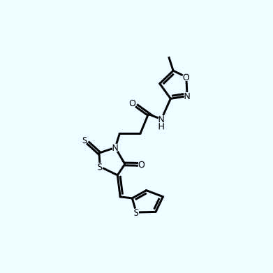 Cc1cc(NC(=O)CCN2C(=O)/C(=C\c3cccs3)SC2=S)no1